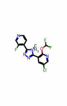 Cn1c(-c2ccncc2F)nnc1-c1cc(Cl)cnc1OC(F)F